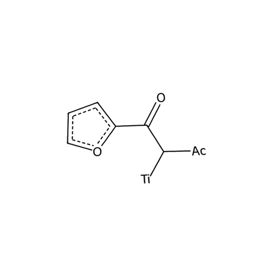 CC(=O)[CH]([Ti])C(=O)c1ccco1